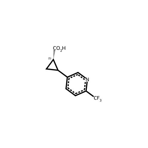 O=C(O)[C@H]1CC1c1ccc(C(F)(F)F)nc1